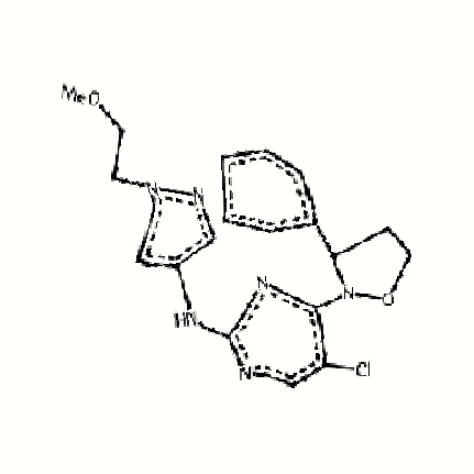 COCCn1cc(Nc2ncc(Cl)c(N3OCCC3c3ccccc3)n2)cn1